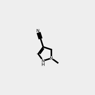 CN1CC(C#N)=[C]N1